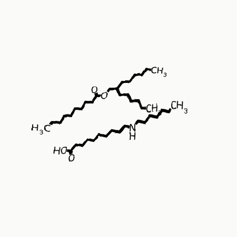 CCCCCCCCCC(=O)OCC(CCCCCC)CCCCCC.CCCCCCCNCCCCCCCCCC(=O)O